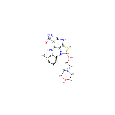 CCc1ccccc1Nc1c(C(N)=O)cnc2sc(OCCN3CCOCC3)nc12